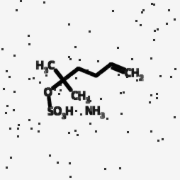 C=CCCC(C)(C)OS(=O)(=O)O.N